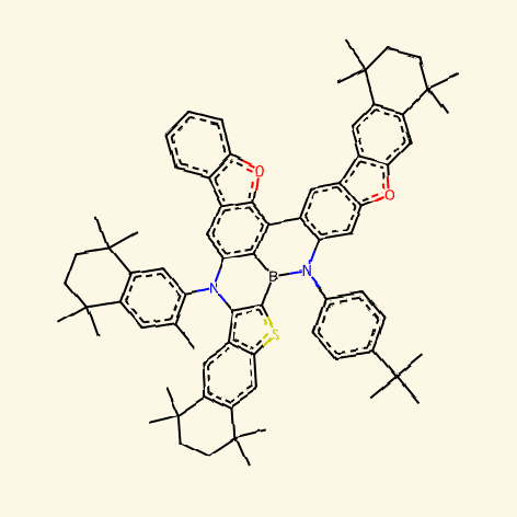 Cc1cc2c(cc1N1c3cc4c(oc5ccccc54)c4c3B(c3sc5cc6c(cc5c31)C(C)(C)CCC6(C)C)N(c1ccc(C(C)(C)C)cc1)c1cc3oc5cc6c(cc5c3cc1-4)C(C)(C)CCC6(C)C)C(C)(C)CCC2(C)C